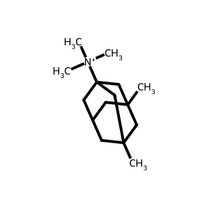 CC12CC3CC(C)(C1)CC([N+](C)(C)C)(C3)C2